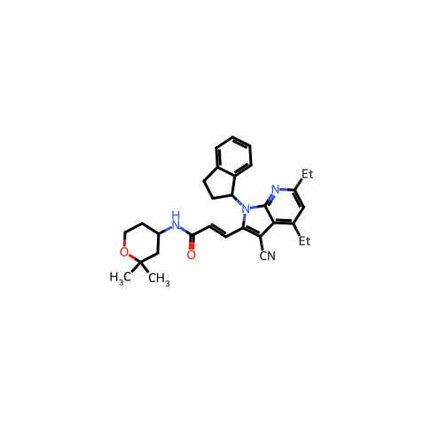 CCc1cc(CC)c2c(C#N)c(/C=C/C(=O)NC3CCOC(C)(C)C3)n(C3CCc4ccccc43)c2n1